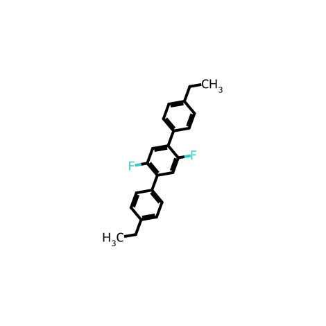 CCc1ccc(-c2cc(F)c(-c3ccc(CC)cc3)cc2F)cc1